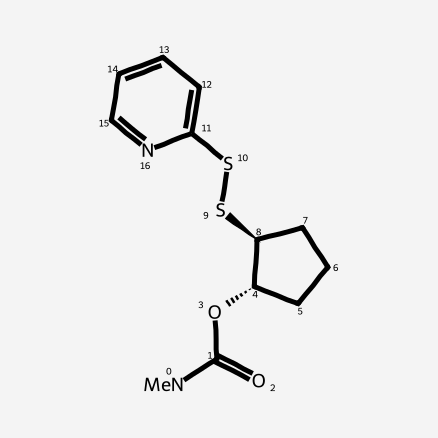 CNC(=O)O[C@H]1CCC[C@@H]1SSc1ccccn1